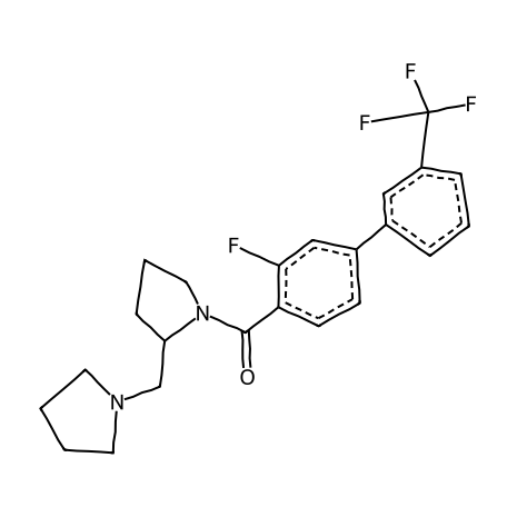 O=C(c1ccc(-c2cccc(C(F)(F)F)c2)cc1F)N1CCCC1CN1CCCC1